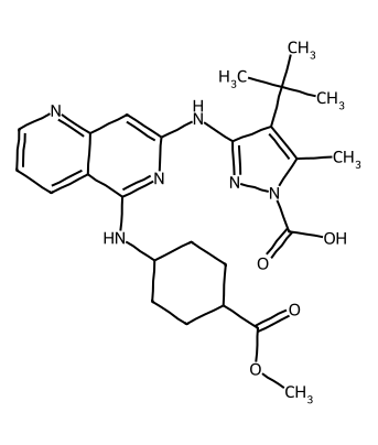 COC(=O)C1CCC(Nc2nc(Nc3nn(C(=O)O)c(C)c3C(C)(C)C)cc3ncccc23)CC1